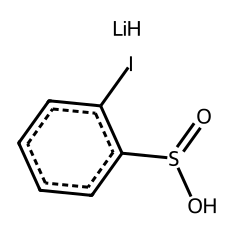 O=S(O)c1ccccc1I.[LiH]